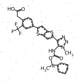 C[C@@H](OC(=O)Nc1c(-c2cc3sc(-c4ccc(CC(=O)O)c(C(F)(F)F)c4)cc3s2)nnn1C)c1ccccc1